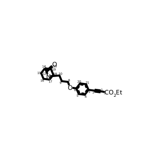 CCOC(=O)C#Cc1ccc(OCCCN2C(=O)C3CCC2CC3)cc1